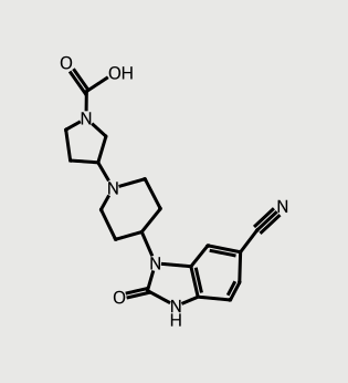 N#Cc1ccc2[nH]c(=O)n(C3CCN(C4CCN(C(=O)O)C4)CC3)c2c1